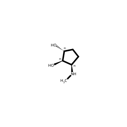 CN[C@@H]1CC[C@@H](O)[C@@H]1O